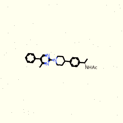 CC(=O)N[C@@H](C)c1ccc(C2CCN(c3ncc(-c4ccccc4)c(C)n3)CC2)cc1